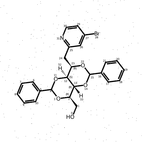 OC[C@H]1OC(c2ccccc2)O[C@@H]2[C@@H]1OC(c1ccccc1)O[C@@H]2Cc1cc(Br)ccn1